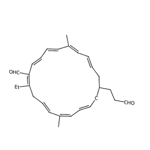 CC/C1=C(C=O)/C=C/C=C/C(C)=C/C=C/CC(CCC=O)C/C=C/C=C(C)\C=C\C1